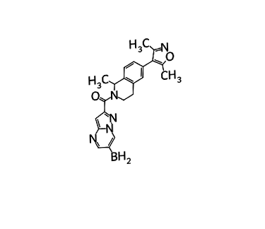 Bc1cnc2cc(C(=O)N3CCc4cc(-c5c(C)noc5C)ccc4C3C)nn2c1